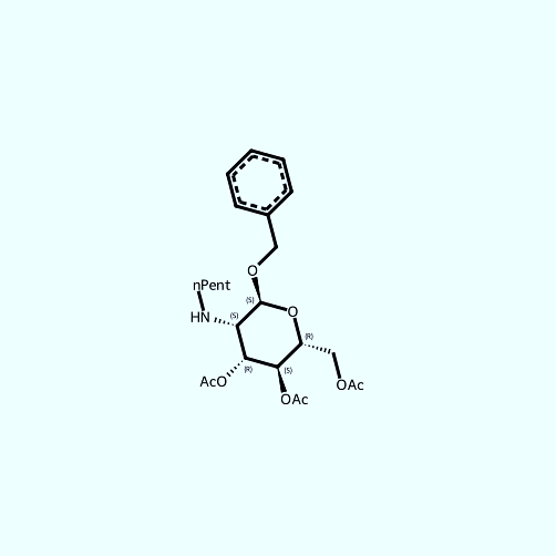 CCCCCN[C@@H]1[C@@H](OCc2ccccc2)O[C@H](COC(C)=O)[C@@H](OC(C)=O)[C@@H]1OC(C)=O